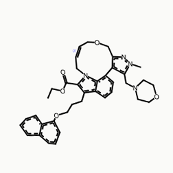 CCOC(=O)c1c(CCCOc2cccc3ccccc23)c2cccc3c2n1C/C=C\COCc1nn(C)c(CN2CCOCC2)c1-3